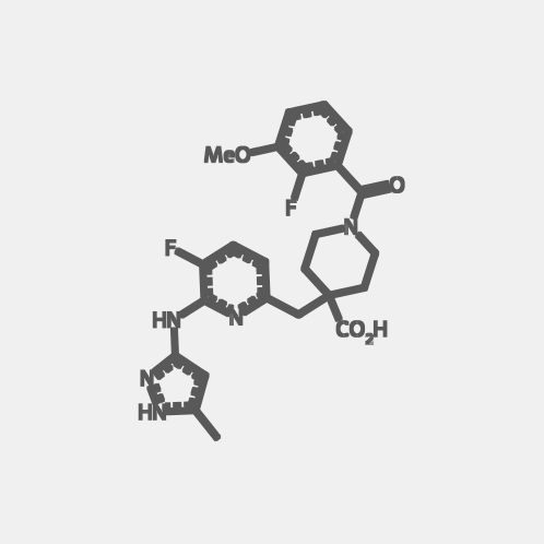 COc1cccc(C(=O)N2CCC(Cc3ccc(F)c(Nc4cc(C)[nH]n4)n3)(C(=O)O)CC2)c1F